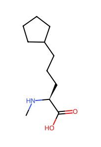 CN[C@@H](CCCC1CCCC1)C(=O)O